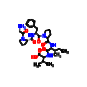 CCC(C)C(NC(=O)[C@@H]1CCCN1C(=O)C(Cc1ccccc1)NC(=O)[C@@H]1CCCN1C(=O)CN)C(=O)NC(C(=O)O)C(C)C